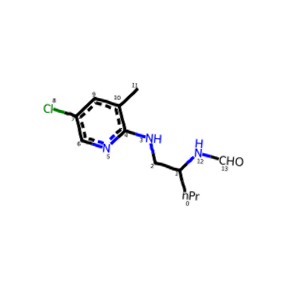 CCCC(CNc1ncc(Cl)cc1C)NC=O